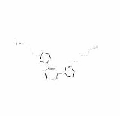 CCC1=C(c2cccc(OCCCNN)c2)C=C(c2cccc(OCCCNN)c2)N=CC1